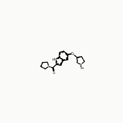 CC(C)N1CCC(Oc2ccc3[nH]c(C(=O)N4CCCC4)cc3c2)C1